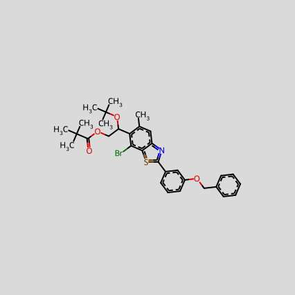 Cc1cc2nc(-c3cccc(OCc4ccccc4)c3)sc2c(Br)c1C(COC(=O)C(C)(C)C)OC(C)(C)C